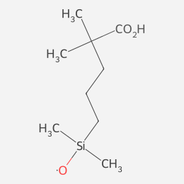 CC(C)(CCC[Si](C)(C)[O])C(=O)O